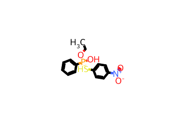 CCOP(O)(=[SH]c1ccc([N+](=O)[O-])cc1)c1ccccc1